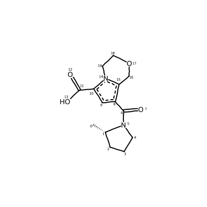 C[C@H]1CCCN1C(=O)c1cc(C(=O)O)n2c1COCC2